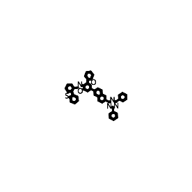 c1ccc(-c2nc(-c3ccccc3)nc(-c3ccc4cc(-c5cc6oc(-c7cccc8sc9ccccc9c78)nc6c6c5oc5ccccc56)ccc4c3)n2)cc1